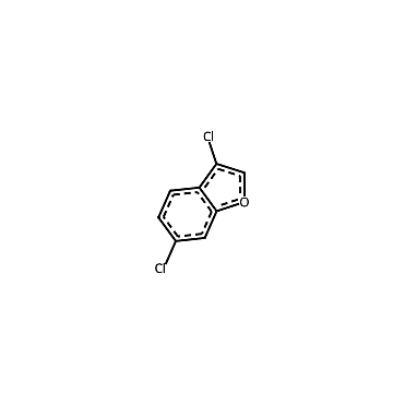 Clc1ccc2c(Cl)coc2c1